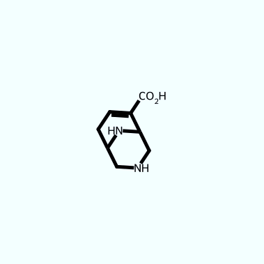 O=C(O)C1=CCC2CNCC1N2